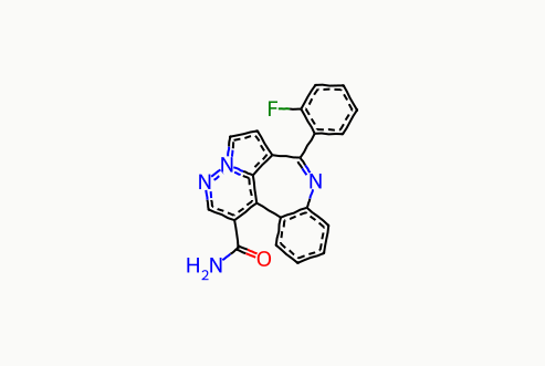 NC(=O)c1cnn2ccc3c2c1-c1ccccc1N=C3c1ccccc1F